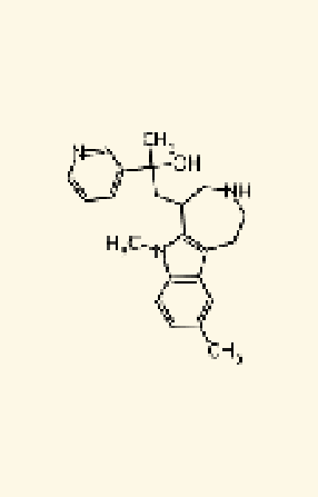 Cc1ccc2c(c1)c1c(n2C)C(CC(C)(O)c2cccnc2)CNCC1